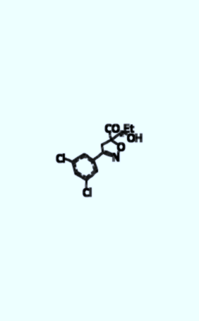 CCOC(=O)C1(CO)CC(c2cc(Cl)cc(Cl)c2)=NO1